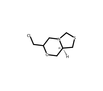 ClCC1CN2CSC[C@H]2CO1